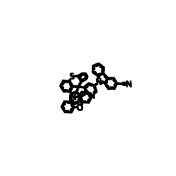 N#Cc1ccc2c(c1)c1ccccc1n2-c1cnc2c(c1)C1(c3ccccc3Sc3cccc(N4c5ccccc5Oc5ccccc54)c31)c1cccnc1-2